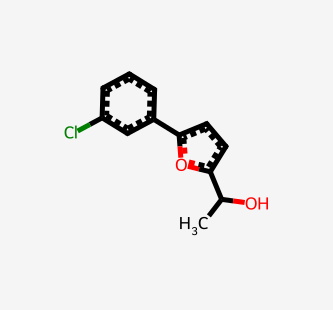 CC(O)c1ccc(-c2cccc(Cl)c2)o1